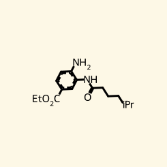 CCOC(=O)c1ccc(N)c(NC(=O)CCCC(C)C)c1